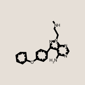 CNCCn1nc(-c2ccc(Oc3ccccc3)cc2)c2c(N)ncnc21